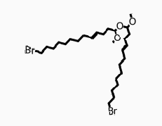 COC(CCC=CCCCCCCCCBr)OC(CCC=CCCCCCCCCBr)OC